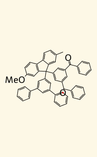 COc1ccc2c(c1)C(c1cc(C(=O)c3ccccc3)cc(C(=O)c3ccccc3)c1)(c1cc(-c3ccccc3)cc(-c3ccccc3)c1)c1cc(C)ccc1-2